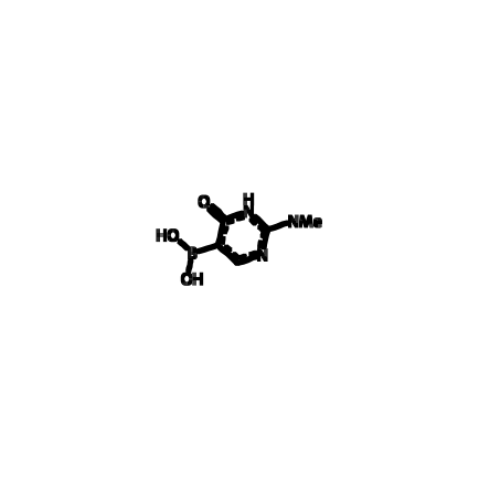 CNc1ncc(B(O)O)c(=O)[nH]1